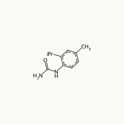 Cc1ccc(NC(N)=O)c(C(C)C)c1